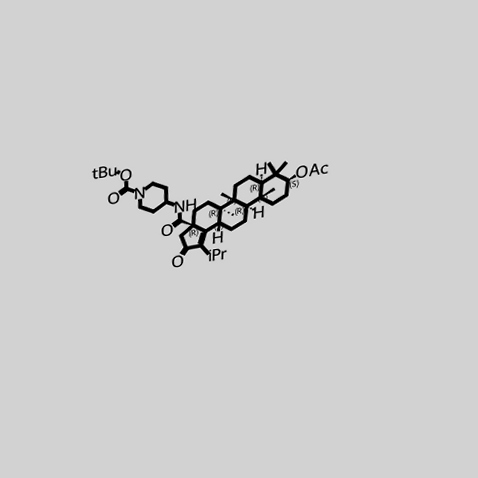 CC(=O)O[C@H]1CC[C@]2(C)[C@H]3CC[C@@H]4C5=C(C(C)C)C(=O)C[C@]5(C(=O)NC5CCN(C(=O)OC(C)(C)C)CC5)CC[C@@]4(C)[C@]3(C)CC[C@H]2C1(C)C